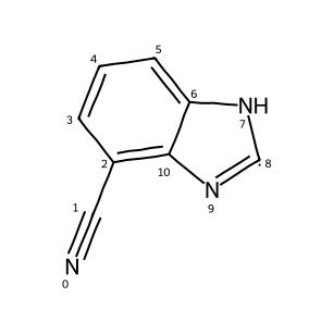 N#Cc1cccc2[nH][c]nc12